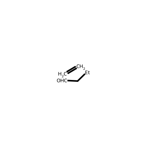 C=C.CCCC=O